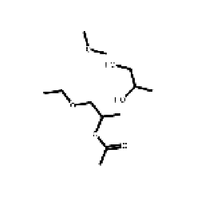 CC(O)CO.CCOCC(C)OC(C)=O.COC